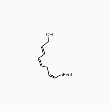 CCCCC/C=C\C/C=C\C=C\CO